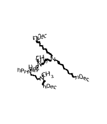 CCCCCCCCCCC=CN(C)CCCN(CCC)CCC.CCCCCCCCCCCCCCCCC=CN(C=CCCCCCCCCCCCCCCCC)CCCN(C)C